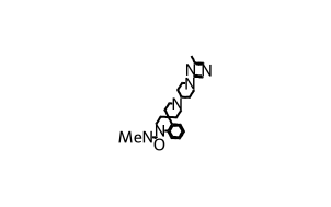 CNC(=O)N1CCC2(CCN(C3CCN(c4cncc(C)n4)CC3)CC2)c2ccccc21